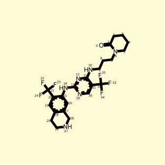 O=C1CCCCN1CCCNc1nc(Nc2cc3c(cc2C(F)(F)F)CCNC3)ncc1C(F)(F)F